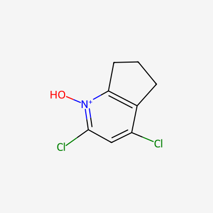 O[n+]1c(Cl)cc(Cl)c2c1CCC2